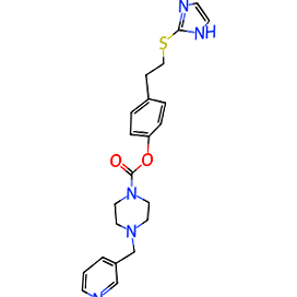 O=C(Oc1ccc(CCSc2ncc[nH]2)cc1)N1CCN(Cc2cccnc2)CC1